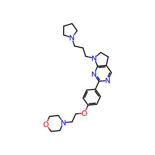 c1cc(-c2ncc3c(n2)N(CCCN2CCCC2)CC3)ccc1OCCN1CCOCC1